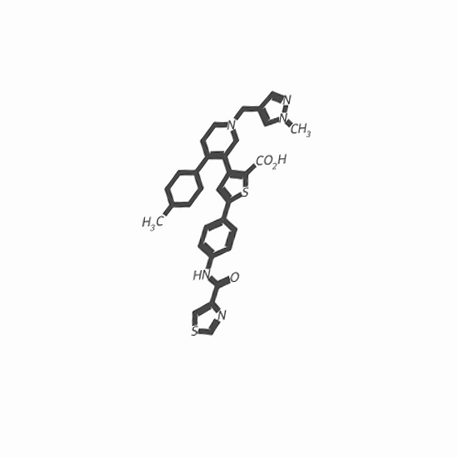 CC1CCC(C2=C(c3cc(-c4ccc(NC(=O)c5cscn5)cc4)sc3C(=O)O)CN(Cc3cnn(C)c3)CC2)CC1